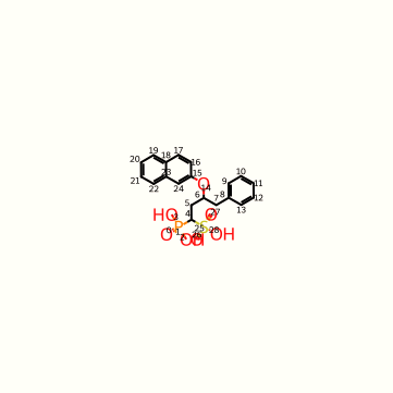 O=P(O)(O)C(CC(Cc1ccccc1)Oc1ccc2ccccc2c1)S(=O)(=O)O